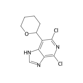 Clc1nc(Cl)c2nc[nH]c2c1C1CCCCO1